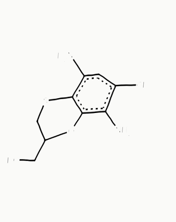 CCC1CSc2c(N)cc(C)c(N)c2O1